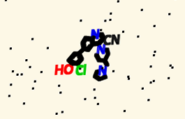 N#Cc1cnc2ccc(-c3ccc(O)c(Cl)c3)cc2c1N1CCC(CN2CCCC2)CC1